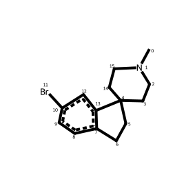 CN1CCC2(CCc3ccc(Br)cc32)CC1